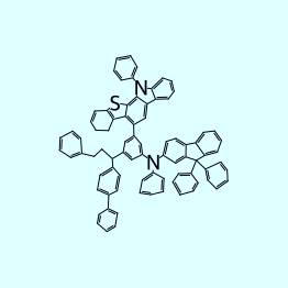 C1=Cc2sc3c(c(-c4cc(C(CCc5ccccc5)c5ccc(-c6ccccc6)cc5)cc(N(c5ccccc5)c5ccc6c(c5)C(c5ccccc5)(c5ccccc5)c5ccccc5-6)c4)cc4c5ccccc5n(-c5ccccc5)c43)c2CC1